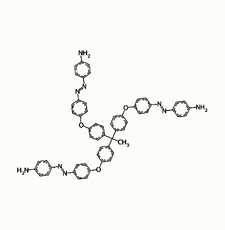 CC(c1ccc(Oc2ccc(N=Nc3ccc(N)cc3)cc2)cc1)(c1ccc(Oc2ccc(N=Nc3ccc(N)cc3)cc2)cc1)c1ccc(Oc2ccc(N=Nc3ccc(N)cc3)cc2)cc1